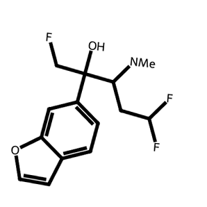 CNC(CC(F)F)C(O)(CF)c1ccc2ccoc2c1